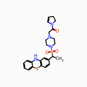 CC(c1ccc2c(c1)Nc1ccccc1S2)S(=O)(=O)N1CCN(CC(=O)N2C=CCC2)CC1